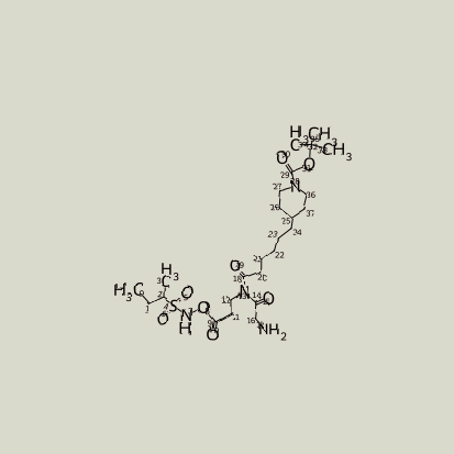 CCC(C)S(=O)(=O)NOC(=O)CCN(C(=O)CN)C(=O)CCCCCC1CCN(C(=O)OC(C)(C)C)CC1